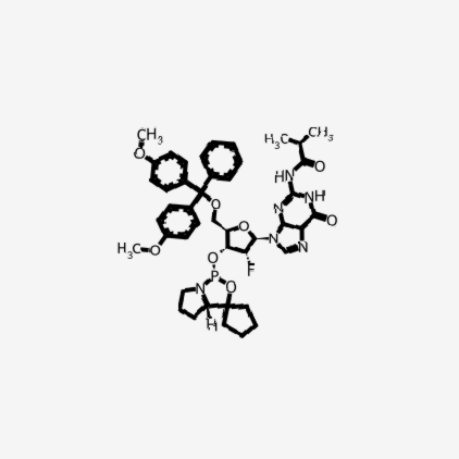 COc1ccc(C(OC[C@H]2O[C@@H](N3C=NC4C(=O)NC(NC(=O)C(C)C)=NC43)[C@H](F)[C@@H]2O[P@]2OC3(CCCC3)[C@@H]3CCCN32)(c2ccccc2)c2ccc(OC)cc2)cc1